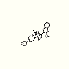 COc1nc2ccccc2cc1-c1cnc(C2CCN(C3CCOC3)CCN2C(C)=O)[nH]1